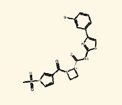 CS(=O)(=O)n1ccc(C(=O)N2CC[C@H]2C(=O)Nc2nc(-c3cccc(Br)c3)cs2)c1